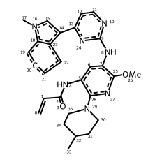 C=CC(=O)Nc1cc(Nc2nccc(-c3cn(C)c4ccccc34)n2)c(OC)nc1N1CCC(C)CC1